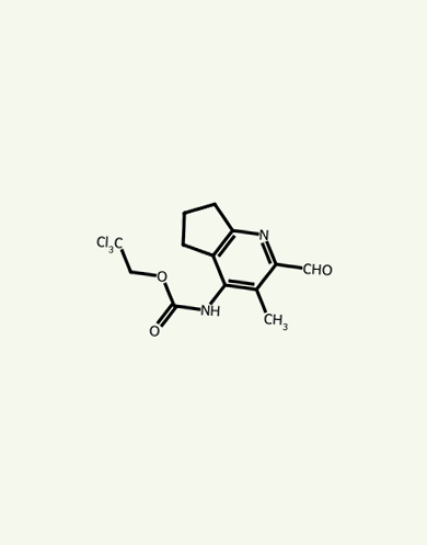 Cc1c(C=O)nc2c(c1NC(=O)OCC(Cl)(Cl)Cl)CCC2